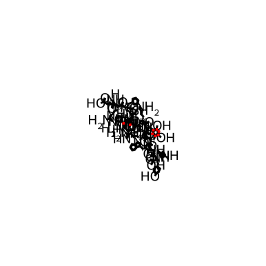 N=C(N)NCCC[C@H](NC(=O)[C@H](Cc1ccc(O)cc1)NC(=O)[C@@H](CCCCN)NC(=O)[C@@H](CCCNC(=N)N)NC(=O)[C@H](Cc1ccccc1)NC(=O)[C@H](CS)NC(=O)[C@@H](Cc1ccccc1)NC(=O)[C@H](CCCNC(=N)N)NC(=O)[C@@H](N)CC(=O)O)C(=O)N[C@H](Cc1ccc(O)cc1)C(=O)N[C@@H](Cc1c[nH]c2ccccc12)C(=O)N[C@H](Cc1c[nH]cn1)C(=O)N[C@@H](Cc1ccc(O)cc1)C(=O)O